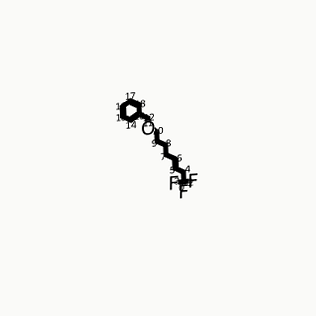 FC(F)(F)C/C=C/CCCCOCc1ccccc1